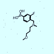 COCCCN(C)Cc1ccc(B(O)O)cc1F